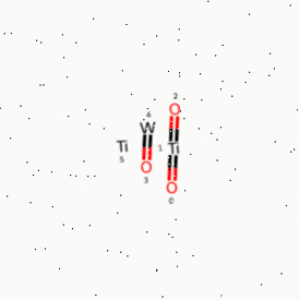 [O]=[Ti]=[O].[O]=[W].[Ti]